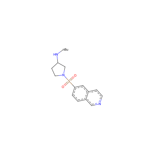 CCCCNC1CCN(S(=O)(=O)c2ccc3cnccc3c2)C1